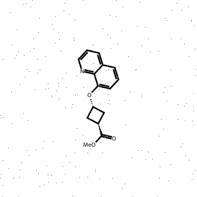 COC(=O)[C@H]1C[C@H](Oc2cccc3cccnc23)C1